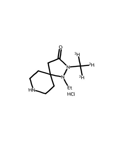 Cl.[2H]C([2H])([2H])N1C(=O)CC2(CCNCC2)N1CC